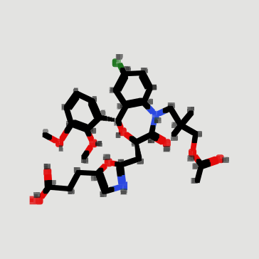 COc1cccc([C@H]2O[C@H](Cc3ncc(CCC(=O)O)o3)C(=O)N(CC(C)(C)COC(C)=O)c3ccc(Cl)cc32)c1OC